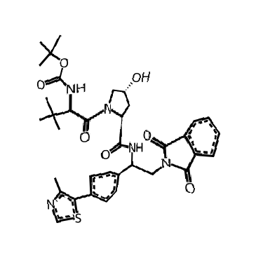 Cc1ncsc1-c1ccc(C(CN2C(=O)c3ccccc3C2=O)NC(=O)[C@@H]2C[C@@H](O)CN2C(=O)C(NC(=O)OC(C)(C)C)C(C)(C)C)cc1